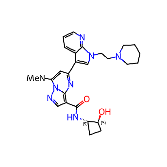 CNc1cc(-c2cn(CCN3CCCCC3)c3ncccc23)nc2c(C(=O)N[C@H]3CC[C@@H]3O)cnn12